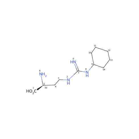 N=C(NCC[C@H](N)C(=O)O)NC1CCCCC1